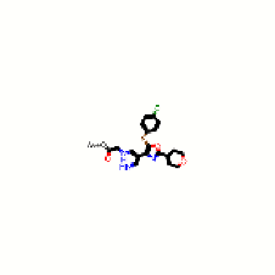 COC(=O)CN/C=C(\C=N)c1nc(C2CCOCC2)oc1Sc1ccc(Cl)cc1